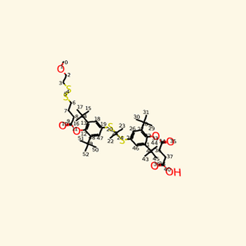 COCCSSCCCC(=O)Oc1c(C(C)(C)C)cc(SC(C)(C)Sc2cc(C(C)(C)C)c(OC(=O)CCC(=O)O)c(C(C)(C)C)c2)cc1C(C)(C)C